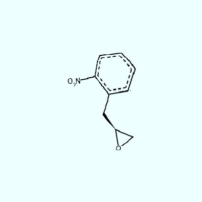 O=[N+]([O-])c1ccc[c]c1C[C@H]1CO1